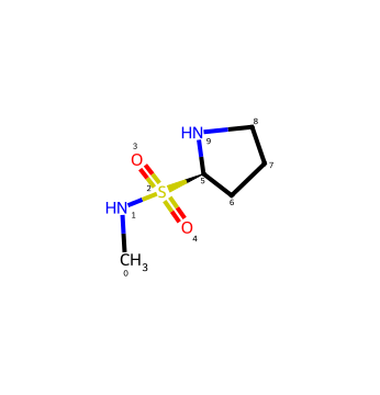 CNS(=O)(=O)[C@@H]1CCCN1